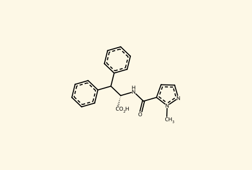 Cn1nccc1C(=O)N[C@H](C(=O)O)C(c1ccccc1)c1ccccc1